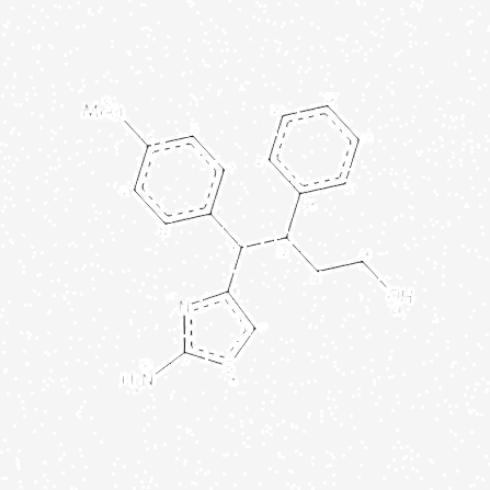 COc1ccc(C(c2csc(N)n2)C(CCO)c2ccccc2)cc1